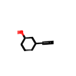 C#CC1CCCC(O)C1